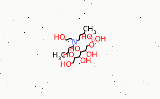 CCCCN(CCO)CCCC.OC[C@@H](O)[C@@H](O)[C@H](O)[C@@H](O)COB(O)O